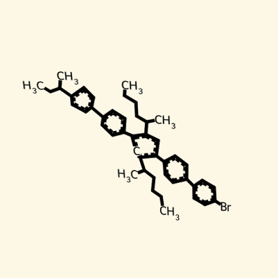 CCCCC(C)c1cc(-c2ccc(-c3ccc(C(C)CC)cc3)cc2)c(C(C)CCCC)cc1-c1ccc(-c2ccc(Br)cc2)cc1